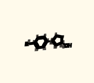 O[C@H]1CC[C@@H](c2ccc(Br)cc2)C1